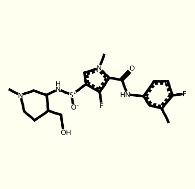 Cc1cc(NC(=O)c2c(F)c([S+]([O-])NC3CN(C)CCC3CO)cn2C)ccc1F